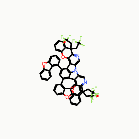 FC(F)(F)CC1(CC(F)(F)F)c2ccccc2Oc2c1ncc1c2c2c(-c3cccc4oc5ccccc5c34)cc(-c3cccc4oc5ccccc5c34)c3c4c5c(ncc4n1c23)C(CC(F)(F)F)(CC(F)(F)F)c1ccccc1O5